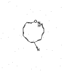 N#CC1=C/C=C/C=C/C=C\C=C\ON/N=C\C=C\C=C\1